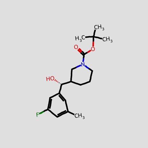 Cc1cc(F)cc([C@H](O)C2CCCN(C(=O)OC(C)(C)C)C2)c1